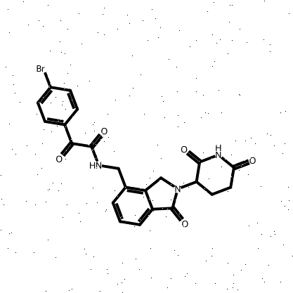 O=C1CCC(N2Cc3c(CNC(=O)C(=O)c4ccc(Br)cc4)cccc3C2=O)C(=O)N1